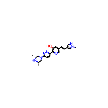 C[C@@H]1CN(c2ccc(-c3ncc(/C=C/c4cnn(C)c4)cc3O)nn2)C[C@H](C)N1